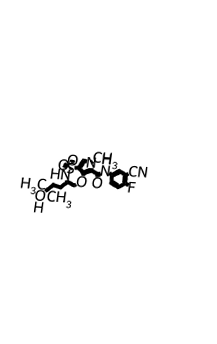 Cn1cc2c(c1C(=O)Nc1ccc(F)c(C#N)c1)OCC(CCC(C)(C)O)NS2(=O)=O